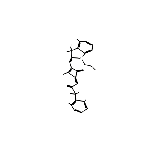 C=C(/C=C1/C(=O)C(/C=C2\N(CCC(C)C)c3cccc(C(F)(F)F)c3C2(C)C)=C1O)C(C)(C)c1c(C)cccc1C(F)(F)F